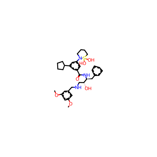 COc1cc(CNC[C@@H](O)[C@H](Cc2ccccc2)NC(=O)c2cc(C3CCCC3)cc(N3CCCCS3(O)O)c2)cc(OC)c1